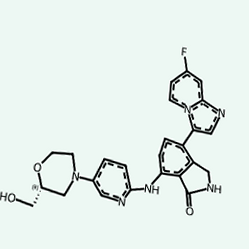 O=C1NCc2c(-c3cnc4cc(F)ccn34)ccc(Nc3ccc(N4CCO[C@@H](CO)C4)cn3)c21